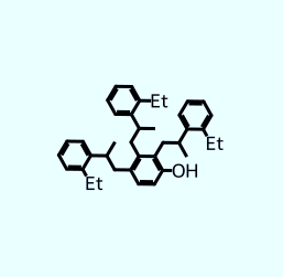 CCc1ccccc1C(C)Cc1ccc(O)c(CC(C)c2ccccc2CC)c1CC(C)c1ccccc1CC